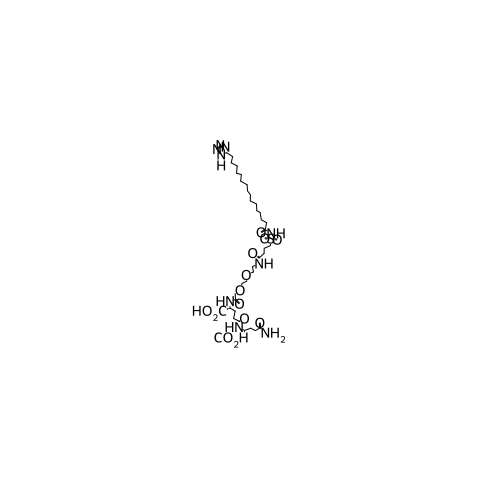 NC(=O)CC[C@H](NC(=O)CC[C@H](NC(=O)COCCOCCNC(=O)CCCS(=O)(=O)NC(=O)CCCCCCCCCCCCCCCc1nnn[nH]1)C(=O)O)C(=O)O